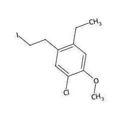 CCc1cc(OC)c(Cl)cc1CCI